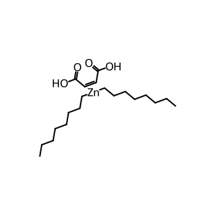 CCCCCCC[CH2][Zn][CH2]CCCCCCC.O=C(O)/C=C\C(=O)O